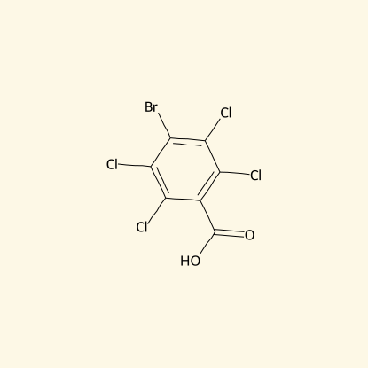 O=C(O)c1c(Cl)c(Cl)c(Br)c(Cl)c1Cl